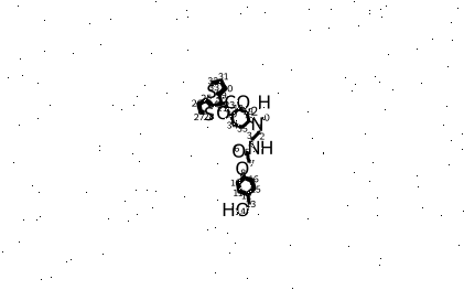 CN(CCNC(=O)COc1ccc(CO)cc1)[C@H]1CC[C@H](OC(C(=O)O)(c2cccs2)c2cccs2)CC1